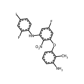 Cc1c(N)cccc1Oc1cc(F)cc(Nc2ccc(I)cc2F)c1[N+](=O)[O-]